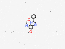 COc1ccc2nc(-c3ccccc3)cnc2c1.N#CC=O